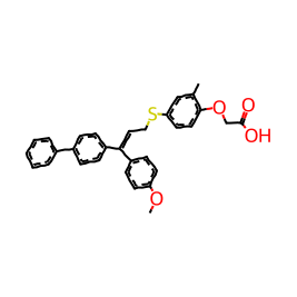 COc1ccc(/C(=C\CSc2ccc(OCC(=O)O)c(C)c2)c2ccc(-c3ccccc3)cc2)cc1